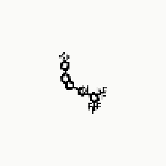 C[Si](C)(C)c1ccc(-c2ccc3ccc(-c4ccc(-c5cc(C(F)(F)F)cc(C(F)(F)F)c5)nc4)cc3c2)cc1